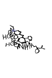 CC/N=c1\ccc2cc3c(-c4ccccc4C(=O)N(C)CCCC(=O)C(C)C)cc(NCC)c(S(=O)(=O)O)c3oc-2c1S(=O)(=O)O